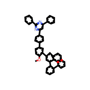 COc1ccc(-c2ccc(-c3cc(-c4ccccc4)nc(-c4ccccc4)n3)cc2)cc1-c1cc(-c2ccccc2-c2ccccc2)c2ccccc2c1